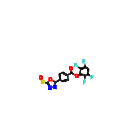 O=[S+]c1nnc(-c2ccc(C(=O)Oc3c(F)c(F)cc(F)c3F)cc2)o1